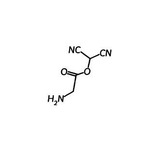 N#CC(C#N)OC(=O)CN